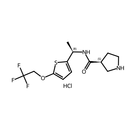 C[C@@H](NC(=O)[C@H]1CCNC1)c1ccc(OCC(F)(F)F)s1.Cl